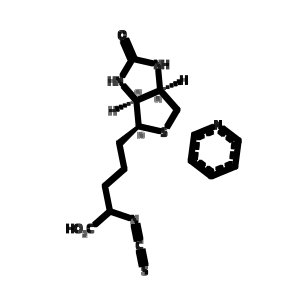 O=C1N[C@H]2[C@H](CS[C@H]2CCCC(N=C=S)C(=O)O)N1.c1ccncc1